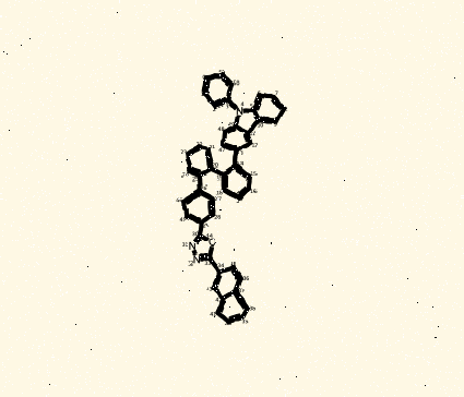 c1ccc(-n2c3ccccc3c3cc(-c4ccccc4-c4ccccc4-c4ccc(-c5nnc(-c6ccc7ccccc7c6)o5)cc4)ccc32)cc1